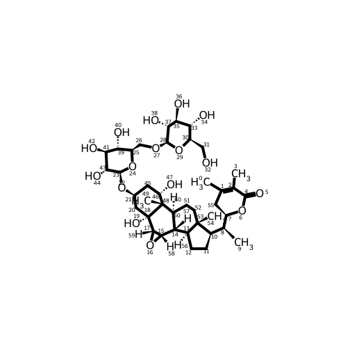 CC1=C(C)C(=O)O[C@@H]([C@@H](C)[C@H]2CC[C@H]3[C@@H]4[C@@H]5O[C@@H]5[C@@]5(O)C[C@@H](O[C@@H]6O[C@H](CO[C@@H]7O[C@H](CO)[C@@H](O)[C@H](O)[C@H]7O)[C@@H](O)[C@H](O)[C@H]6O)C[C@H](O)[C@]5(C)[C@H]4CC[C@]23C)C1